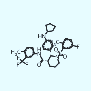 Cc1ccc(NC(=O)[C@H]2CCCN(S(=O)(=O)c3cc(F)ccc3C)[C@H]2c2ccc(NC3CCCC3)cc2)cc1C(F)(F)F